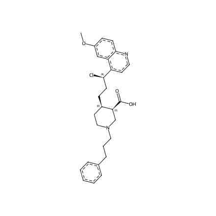 COc1ccc2nccc([C@H](Cl)CC[C@@H]3CCN(CCCc4ccccc4)C[C@@H]3C(=O)O)c2c1